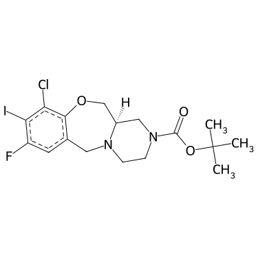 CC(C)(C)OC(=O)N1CCN2Cc3cc(F)c(I)c(Cl)c3OC[C@H]2C1